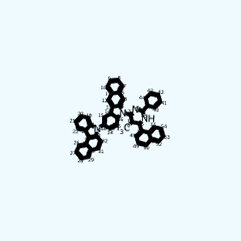 CC1C(N2c3cc4ccccc4cc3C3C=C(n4c5ccccc5c5c6ccccc6ccc54)C=CC32)=NC(C2C=CC=CC2)NC1c1cccc2ccccc12